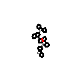 c1ccc(-c2ccccc2N(c2ccc(-c3cc(-n4c5ccccc5c5ccccc54)cc4ccccc34)cc2)c2ccc3oc4ccccc4c3c2)cc1